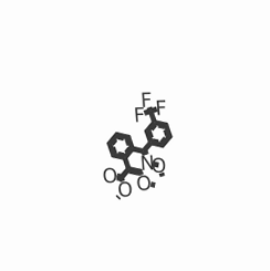 COC=C(C(=O)OC)c1ccccc1C(=NOC)c1cccc(C(F)(F)F)c1